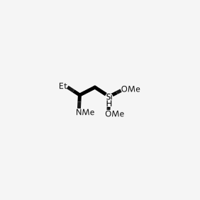 CCC(C[SiH](OC)OC)NC